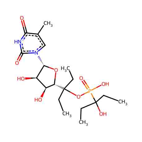 CCC(CC)(OP(=O)(O)C(O)(CC)CC)[C@H]1O[C@@H](n2cc(C)c(=O)[nH]c2=O)[C@H](O)[C@@H]1O